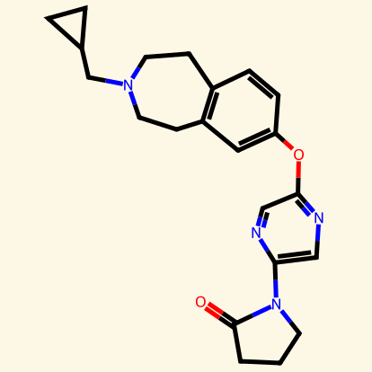 O=C1CCCN1c1cnc(Oc2ccc3c(c2)CCN(CC2CC2)CC3)cn1